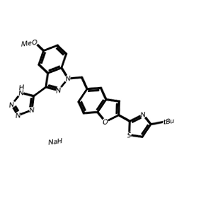 COc1ccc2c(c1)c(-c1nnn[nH]1)nn2Cc1ccc2oc(-c3nc(C(C)(C)C)cs3)cc2c1.[NaH]